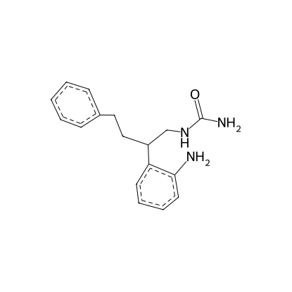 NC(=O)NCC(CCc1ccccc1)c1ccccc1N